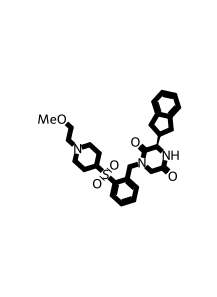 COCCN1CCC(S(=O)(=O)c2ccccc2CN2CC(=O)N[C@H](C3Cc4ccccc4C3)C2=O)CC1